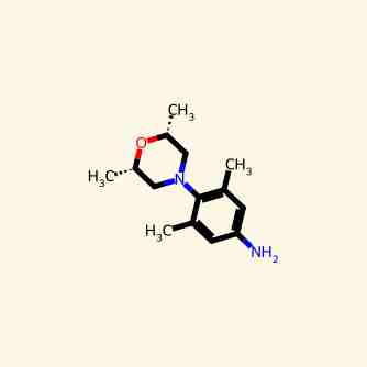 Cc1cc(N)cc(C)c1N1C[C@@H](C)O[C@@H](C)C1